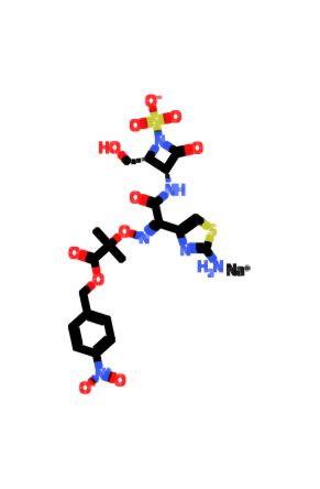 CC(C)(O/N=C(\C(=O)N[C@H]1C(=O)N(S(=O)(=O)[O-])[C@H]1CO)c1csc(N)n1)C(=O)OCc1ccc([N+](=O)[O-])cc1.[Na+]